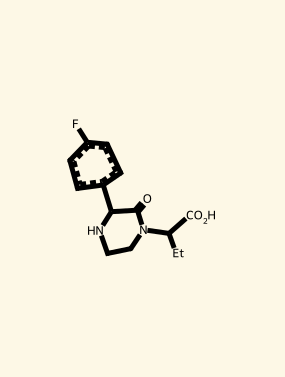 CCC(C(=O)O)N1CCNC(c2ccc(F)cc2)C1=O